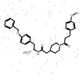 CCOc1ccc(CCC(=O)N2CCC(CC(=O)N[C@@H](Cc3ccc(OCc4ccccc4)cc3)C(=O)O)CC2)cc1